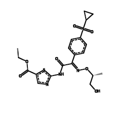 CCOC(=O)c1cnc(NC(=O)/C(=N/O[C@H](C)CO)c2ccc(S(=O)(=O)C3CC3)cc2)s1